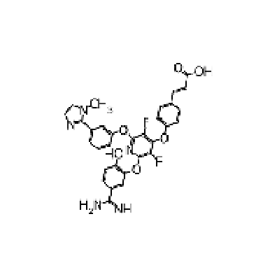 CN1CCN=C1c1cccc(Oc2nc(Oc3cc(C(=N)N)ccc3O)c(F)c(Oc3ccc(C=CC(=O)O)cc3)c2F)c1